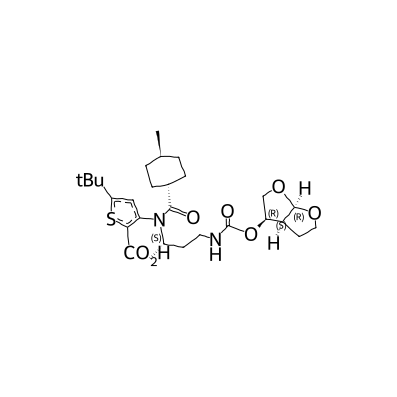 C[C@@H](CCNC(=O)O[C@H]1CO[C@H]2OCC[C@H]21)N(c1cc(C(C)(C)C)sc1C(=O)O)C(=O)[C@H]1CC[C@H](C)CC1